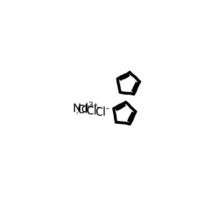 C1=CCC=C1.C1=CCC=C1.[Cl-].[Cl-].[Cl-].[Nd+3]